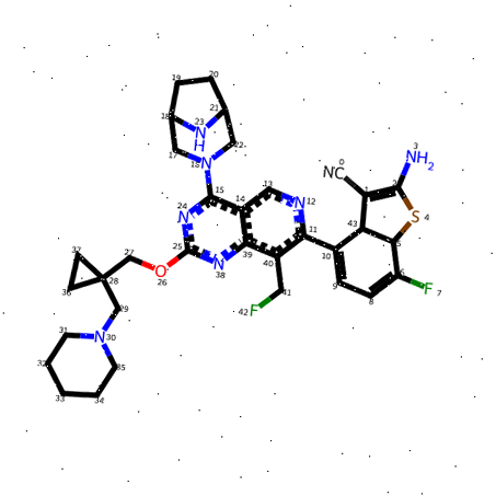 N#CC1=C(N)SC2C(F)=CC=C(c3ncc4c(N5CC6CCC(C5)N6)nc(OCC5(CN6CCCCC6)CC5)nc4c3CF)C12